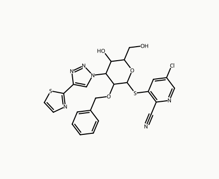 N#Cc1ncc(Cl)cc1SC1OC(CO)C(O)C(n2cc(-c3nccs3)nn2)C1OCc1ccccc1